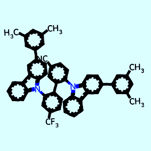 Cc1cc(C)cc(-c2ccc3c(c2)c2ccccc2n3-c2ccc(C#N)cc2-c2ccc(C(F)(F)F)cc2-n2c3ccccc3c3cc(-c4cc(C)cc(C)c4)ccc32)c1